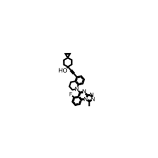 Cc1nnc2nc(N3CCCc4c(C#CC5(O)CCC6(CC5)CC6)cccc43)c3c(F)cccc3n12